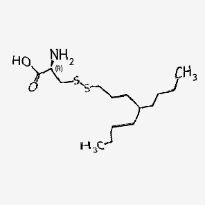 CCCCC(CCCC)CCCSSC[C@H](N)C(=O)O